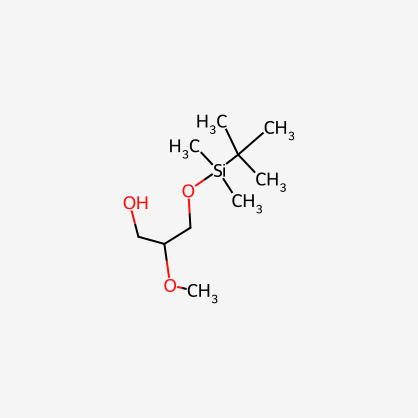 COC(CO)CO[Si](C)(C)C(C)(C)C